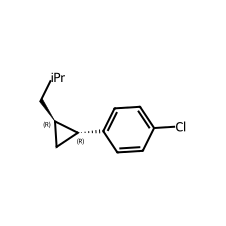 CC(C)C[C@@H]1C[C@H]1c1ccc(Cl)cc1